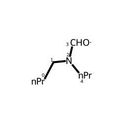 CCCCN([C]=O)CCC